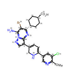 COc1ncc(C2=CC=C(c3cnn4c(N)c(Br)c([C@H]5CC[C@H](C(=O)O)CC5)nc34)CN2)cc1Cl